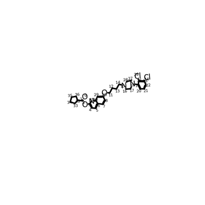 O=C(Oc1ccc2ccc(OCCCCN3CCN(c4cccc(Cl)c4Cl)CC3)cc2n1)C1CCCC1